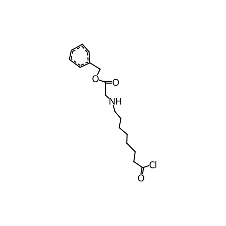 O=C(Cl)CCCCCCCNCC(=O)OCc1ccccc1